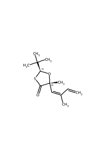 C=CC(C)=C[C@@]1(C)O[C@H](C(C)(C)C)SC1=O